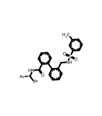 CC(=O)[C@@H](NC(=O)c1ccccc1-c1ccccc1CNS(=O)(=O)c1cccc(C)c1)C(C)C